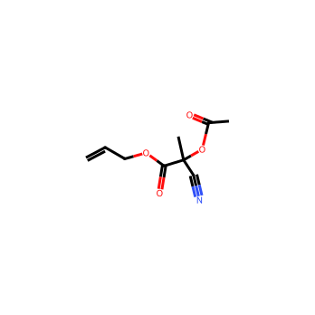 C=CCOC(=O)C(C)(C#N)OC(C)=O